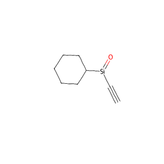 C#C[Si](=O)C1CCCCC1